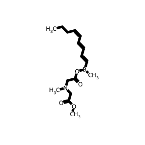 CCC\C=C/C=C/C=C/B(C)OC(=O)CN(C)CC(=O)OC